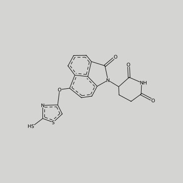 O=C1CCC(N2C(=O)c3cccc4c(Oc5csc(S)n5)ccc2c34)C(=O)N1